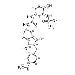 CS(=O)(=O)Nc1cc(NC(=O)Nc2ccc3c(c2)C(=O)N(Cc2ccc(SC(F)(F)F)cc2)C3=O)ccc1O